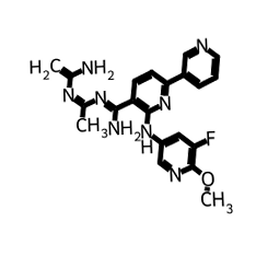 C=C(N)/N=C(C)\N=C(/N)c1ccc(-c2cccnc2)nc1Nc1cnc(OC)c(F)c1